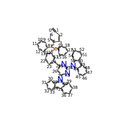 C#C/C=C\C(=C/C)S(c1ccccc1)(c1ccccc1)c1cccc(-c2cc(-n3c4ccccc4c4ccccc43)nc(-n3c4ccccc4c4ccccc43)n2)c1